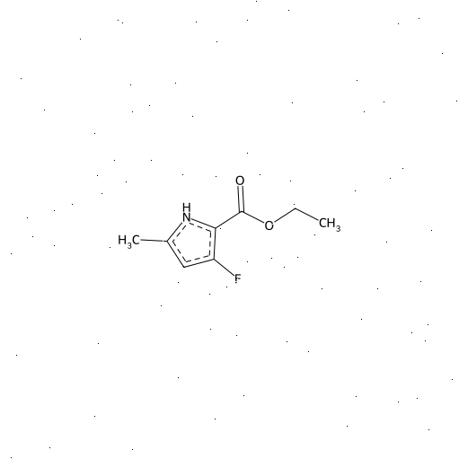 CCOC(=O)c1[nH]c(C)cc1F